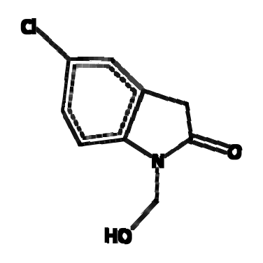 O=C1Cc2cc(Cl)ccc2N1CO